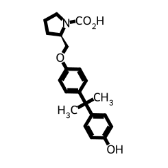 CC(C)(c1ccc(O)cc1)c1ccc(OC[C@H]2CCCN2C(=O)O)cc1